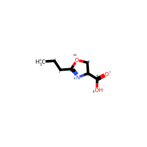 CCCC1=NC(C(=O)O)CO1